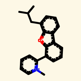 CC(C)Cc1cccc2c1oc1c(-c3cccc[n+]3C)cccc12